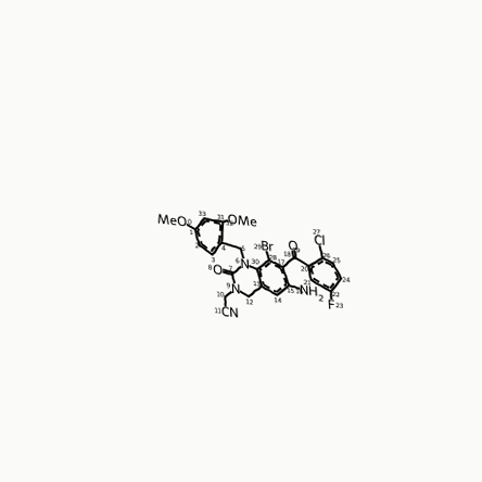 COc1ccc(CN2C(=O)N(CC#N)Cc3cc(N)c(C(=O)c4cc(F)ccc4Cl)c(Br)c32)c(OC)c1